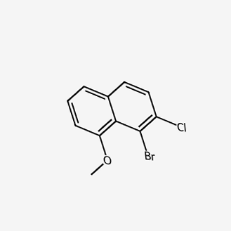 COc1cccc2ccc(Cl)c(Br)c12